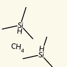 C.C[SiH](C)C.C[SiH](C)C